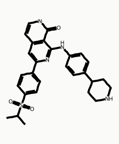 CC(C)S(=O)(=O)c1ccc(-c2cc3c(c(Nc4ccc(C5CCNCC5)cc4)n2)C(=O)[N]C=C3)cc1